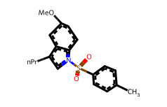 CCCc1cn(S(=O)(=O)c2ccc(C)cc2)c2ccc(OC)cc12